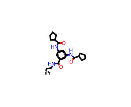 CC(C)CCNC(=O)c1cc(NC(=O)C2CCCC2)cc(NC(=O)C2CCCC2)c1